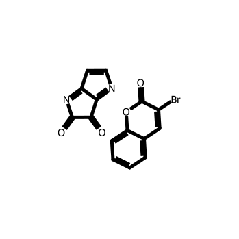 O=c1nc2ccnc-2c1=O.O=c1oc2ccccc2cc1Br